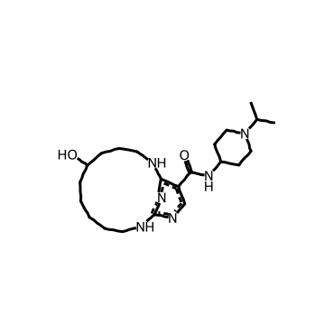 CC(C)N1CCC(NC(=O)c2cnc3nc2NCCCC(O)CCCCCN3)CC1